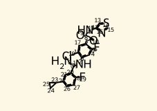 N[C@H](Nc1cc(F)c(S(=O)(=O)Nc2cscn2)cc1Cl)c1cc(C2CC2)ccc1F